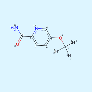 [2H]C([2H])([2H])Oc1ccc(C(N)=O)nc1